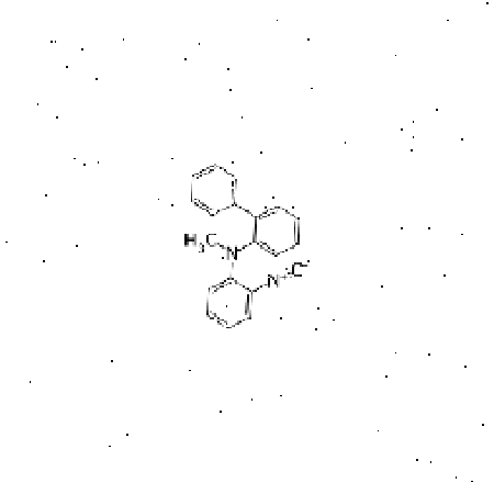 [C-]#[N+]c1ccccc1N(C)c1ccccc1-c1ccccc1